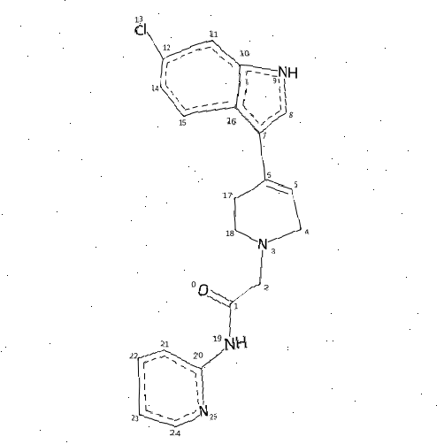 O=C(CN1CC=C(c2c[nH]c3cc(Cl)ccc23)CC1)Nc1ccccn1